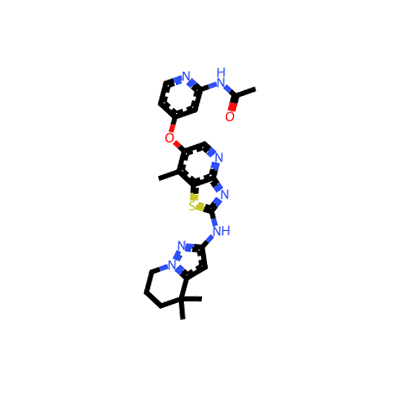 CC(=O)Nc1cc(Oc2cnc3nc(Nc4cc5n(n4)CCCC5(C)C)sc3c2C)ccn1